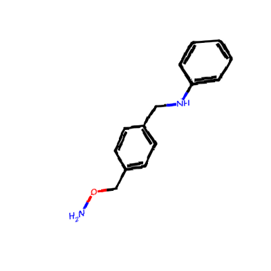 NOCc1ccc(CNc2ccccc2)cc1